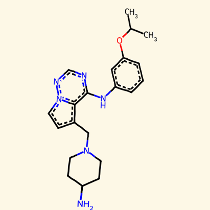 CC(C)Oc1cccc(Nc2ncnn3ccc(CN4CCC(N)CC4)c23)c1